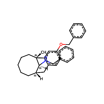 C[C@@]12CCCCC[C@@H](Cc3ccc(OCc4ccccc4)cc31)[C@@H]2NCc1ccccc1